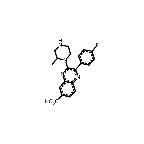 CC1CNCCN1c1nc2cc(C(=O)O)ccc2nc1-c1ccc(F)cc1